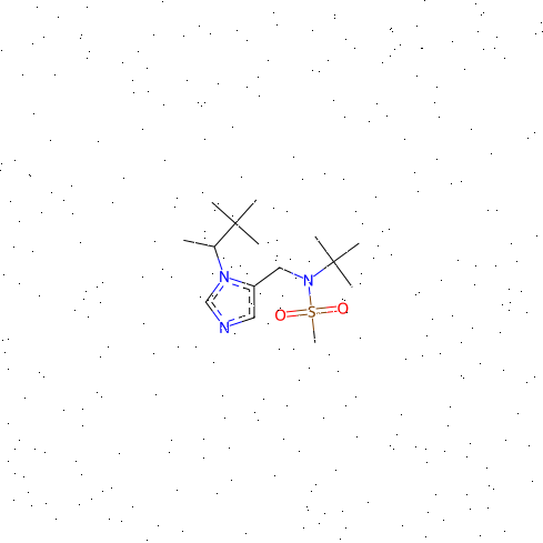 CC(n1cncc1CN(C(C)(C)C)S(C)(=O)=O)C(C)(C)C